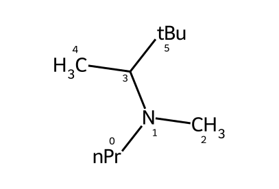 CCCN(C)C(C)C(C)(C)C